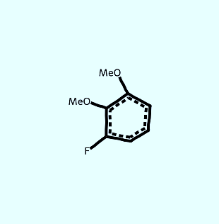 COc1cccc(F)c1OC